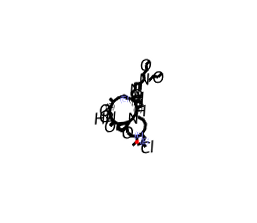 CC/C1=C(\C=C(/C)Cl)CCCCN2C[C@@H]3CC[C@H]3[C@@](CN3CC(N(CCOC)CCOC)C3)(OC)/C=C/CC(C)[C@@H](C)S(=O)(=O)NC(=O)c3ccc(c2c3)OC1